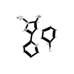 Cn1nc(-c2ccccn2)cc1Br.Fc1ccccc1